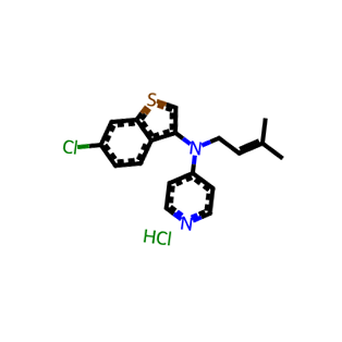 CC(C)=CCN(c1ccncc1)c1csc2cc(Cl)ccc12.Cl